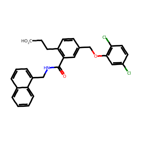 O=C(O)CCc1ccc(COc2cc(Cl)ccc2Cl)cc1C(=O)NCc1cccc2ccccc12